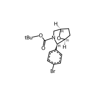 CC(C)(C)OC(=O)N1C[C@H]2CC[C@H](O2)[C@H]1c1ccc(Br)cc1